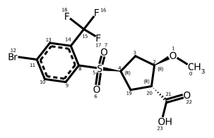 CO[C@@H]1C[C@H](S(=O)(=O)c2ccc(Br)cc2C(F)(F)F)C[C@H]1C(=O)O